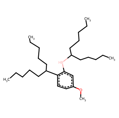 CCCCCC(Bc1cc(OC)ccc1C(CCCCC)CCCCC)CCCCC